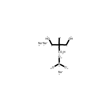 CC(CO)(CO)C(=O)O.[Na+].[Na+].[Na+].[O-]B([O-])[O-]